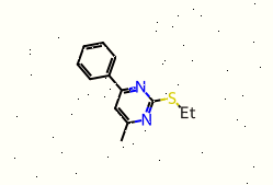 CCSc1nc(C)cc(-c2ccccc2)n1